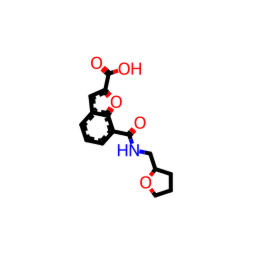 O=C(O)c1cc2cccc(C(=O)NCC3CCCO3)c2o1